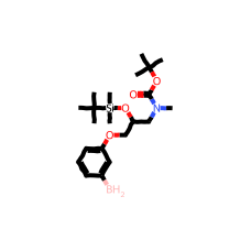 Bc1cccc(OCC(CN(C)C(=O)OC(C)(C)C)O[Si](C)(C)C(C)(C)C)c1